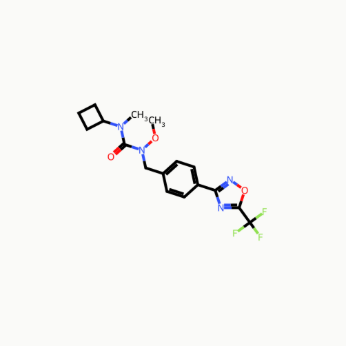 CON(Cc1ccc(-c2noc(C(F)(F)F)n2)cc1)C(=O)N(C)C1CCC1